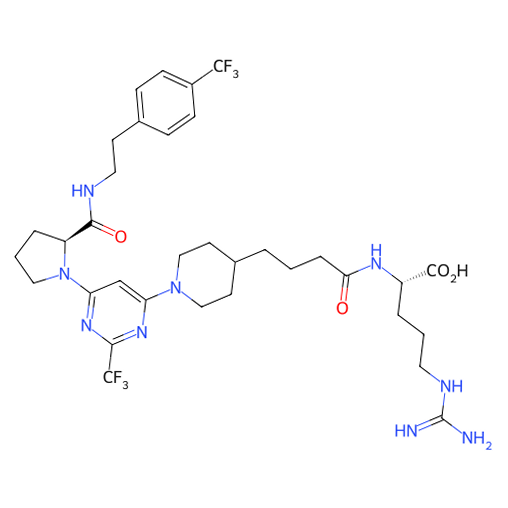 N=C(N)NCCC[C@H](NC(=O)CCCC1CCN(c2cc(N3CCC[C@H]3C(=O)NCCc3ccc(C(F)(F)F)cc3)nc(C(F)(F)F)n2)CC1)C(=O)O